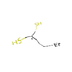 CCC[C](S)S